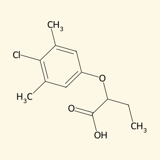 CCC(Oc1cc(C)c(Cl)c(C)c1)C(=O)O